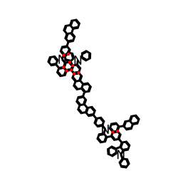 c1ccc(-n2c3ccccc3c3c(-c4cccc(-c5ccccc5N(c5ccc(-c6ccc7ccccc7c6)cc5)c5ccc(-c6ccc7c(ccc8ccc(-c9cccc%10c9ccc9cc(-c%11ccc(N(c%12ccc(-c%13ccc%14c(ccc%15ccccc%15%14)c%13)cc%12)c%12ccccc%12-c%12cccc(-c%13cccc%14c%13c%13ccccc%13n%14-c%13ccccc%13)c%12)cc%11)ccc9%10)cc87)c6)cc5)c4)cccc32)cc1